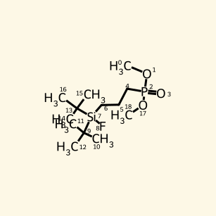 COP(=O)(CCC[Si](F)(C(C)(C)C)C(C)(C)C)OC